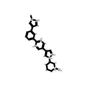 Cn1cc(-c2cccc(-c3ncc(-c4cnn(C5CCC[S+]([O-])C5)c4)cn3)c2)cn1